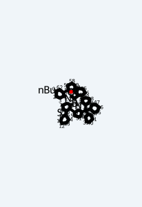 CCCCc1ccc(N2c3cc4sc5ccccc5c4c4c3B(c3c2oc2ccccc32)N2c3ccccc3C(c3ccccc3)(c3ccccc3)c3cccc-4c32)c(-c2ccccc2)c1